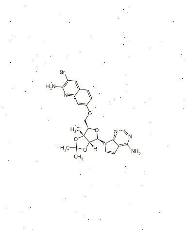 CC1(C)O[C@H]2[C@H](n3ccc4c(N)ncnc43)O[C@H](COc3ccc4cc(Br)c(N)nc4c3)[C@@]2(C)O1